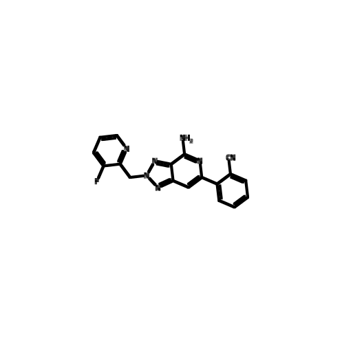 N#Cc1ccccc1-c1cc2nn(Cc3ncccc3F)nc2c(N)n1